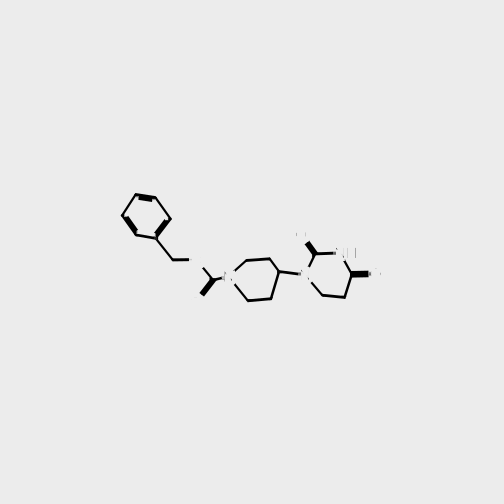 O=C1CCN(C2CCN(C(=O)OCc3ccccc3)CC2)C(=O)N1